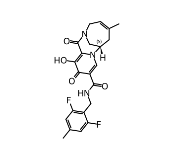 CC1=CCN2C[C@H](C1)n1cc(C(=O)NCc3c(F)cc(C)cc3F)c(=O)c(O)c1C2=O